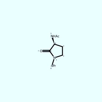 CCCN1CC[C@H](NC(C)=O)C1=O